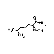 CC(C)CCCC(=NO)C(N)=O